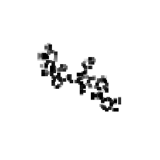 O=C1CCC(N2C(=O)c3cccc(SCC(=O)Nc4cc5c(Nc6ccc(F)c(Cl)c6)ncnc5cc4OC4CCOC4)c3C2=O)C(=O)N1